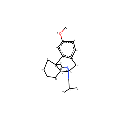 COc1ccc2c(c1)C13CCCCC1C(C2)N(C(C)C)CC3